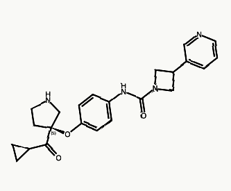 O=C(Nc1ccc(O[C@@]2(C(=O)C3CC3)CCNC2)cc1)N1CC(c2cccnc2)C1